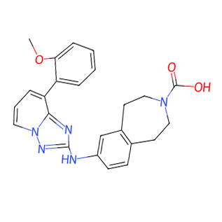 COc1ccccc1-c1cccn2nc(Nc3ccc4c(c3)CCN(C(=O)O)CC4)nc12